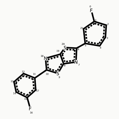 Fc1cccc(-c2nc3sc(-c4cccc(F)c4)nc3s2)c1